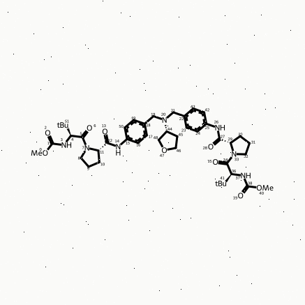 COC(=O)N[C@H](C(=O)N1CCC[C@H]1C(=O)Nc1ccc(CN(Cc2ccc(NC(=O)[C@@H]3CCCN3C(=O)[C@@H](NC(=O)OC)C(C)(C)C)cc2)[C@@H]2CCOC2)cc1)C(C)(C)C